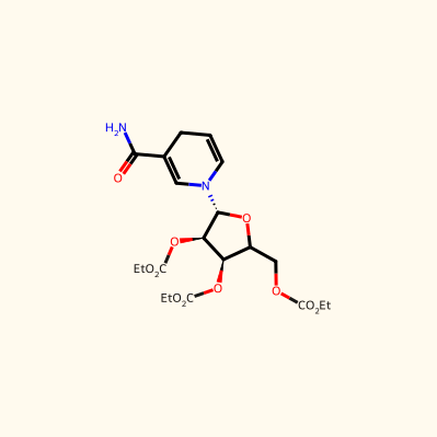 CCOC(=O)OCC1O[C@@H](N2C=CCC(C(N)=O)=C2)[C@H](OC(=O)OCC)[C@@H]1OC(=O)OCC